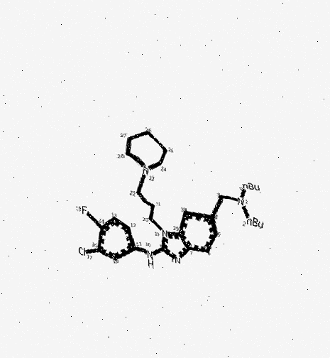 CCCCN(CCCC)Cc1ccc2nc(Nc3ccc(F)c(Cl)c3)n(CCCN3CCCCC3)c2c1